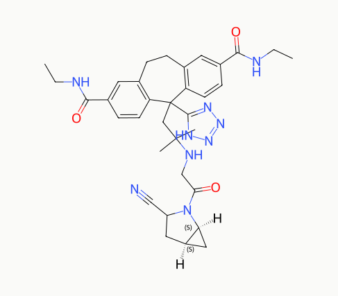 CCNC(=O)c1ccc2c(c1)CCc1cc(C(=O)NCC)ccc1C2(CC(C)(C)NCC(=O)N1C(C#N)C[C@@H]2C[C@@H]21)c1nnn[nH]1